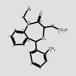 Cc1ccccc1C1OC(CC(=O)O)C(=O)N(CC(C)C)c2ccccc21